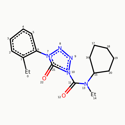 CCc1ccccc1-n1nnn(C(=O)N(CC)C2CCCCC2)c1=O